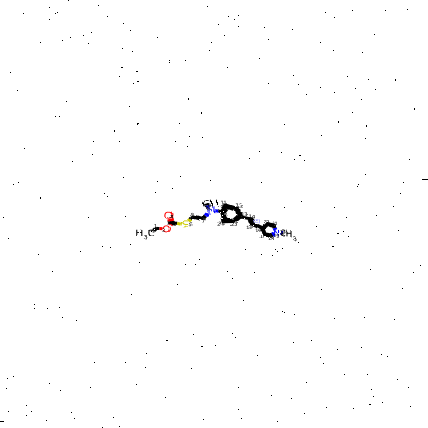 CCOC(=O)SCCN(C)c1ccc(/C=C/c2cc[n+](C)cc2)cc1